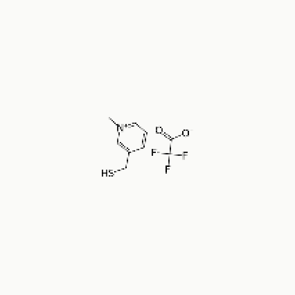 C[n+]1cccc(CS)c1.O=C([O-])C(F)(F)F